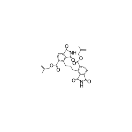 C=C(C)COC(=O)c1ccc2c(c1CCCc1c(C(=O)OCC(=C)C)ccc3c1C(=O)NC3=O)C(=O)NC2=O